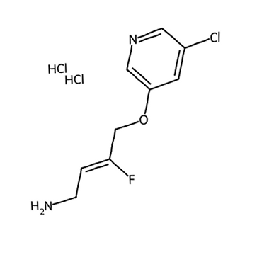 Cl.Cl.NC/C=C(\F)COc1cncc(Cl)c1